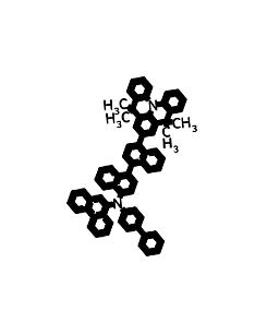 CC1(C)c2ccccc2N2c3ccccc3C(C)(C)c3cc(-c4ccc(-c5ccc(N(c6ccc(-c7ccccc7)cc6)c6cc7ccccc7c7ccccc67)c6ccccc56)c5ccccc45)cc1c32